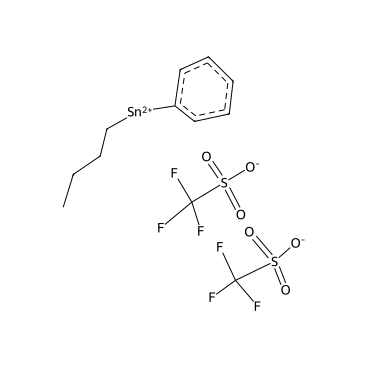 CCC[CH2][Sn+2][c]1ccccc1.O=S(=O)([O-])C(F)(F)F.O=S(=O)([O-])C(F)(F)F